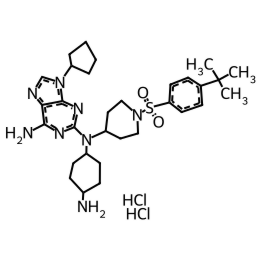 CC(C)(C)c1ccc(S(=O)(=O)N2CCC(N(c3nc(N)c4ncn(C5CCCC5)c4n3)C3CCC(N)CC3)CC2)cc1.Cl.Cl